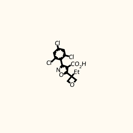 CCC1(c2onc(-c3c(Cl)cc(Cl)cc3Cl)c2C(=O)O)COC1